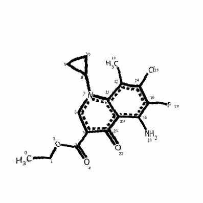 CCOC(=O)c1cn(C2CC2)c2c(C)c(Cl)c(F)c(N)c2c1=O